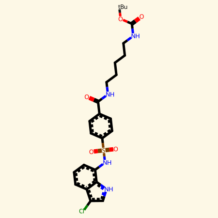 CC(C)(C)OC(=O)NCCCCCNC(=O)c1ccc(S(=O)(=O)Nc2cccc3c(Cl)c[nH]c23)cc1